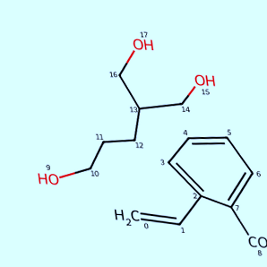 C=Cc1ccccc1C(=O)O.OCCCC(CO)CO